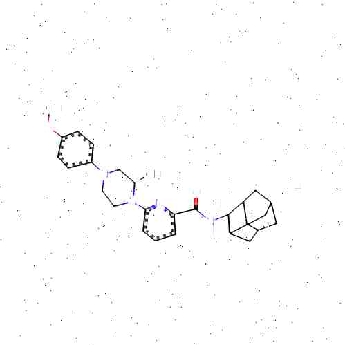 COc1ccc(N2CCN(c3cccc(C(=O)N[C@H]4C5CC6CC4C[C@](O)(C6)C5)n3)[C@H](C)C2)cc1